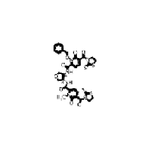 Cn1c(C(=O)N[C@@H]2COC[C@@H]2NC(=O)c2ccc(C(=O)N3CCSC3=S)c(=O)n2OCc2ccccc2)ccc(C(=O)N2CCSC2=S)c1=O